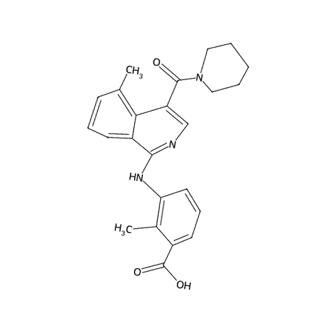 Cc1c(Nc2ncc(C(=O)N3CCCCC3)c3c(C)cccc23)cccc1C(=O)O